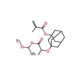 C=C(C)C(=O)OC12CC3CC(C1)CC(OC(C)C(=O)OC(CCC)OCC)(C3)C2